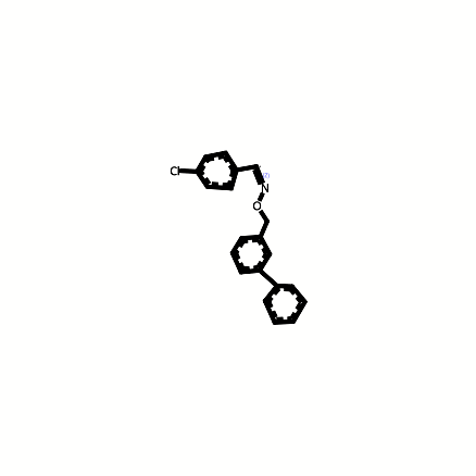 Clc1ccc(/[C]=N\OCc2cccc(-c3ccccc3)c2)cc1